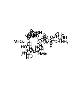 CNc1ncnc2c1ncn2[C@@H]1O[C@H](COP(=O)(O)OP(=O)(O)OP(=O)(O)OC[C@H]2O[C@@H](n3c[n+](C)c4c3N=C(N)NC4O)[C@H](O)[C@@H]2CCOC)[C@@H](OP(=O)([O-])OC[C@H]2O[C@@H](n3cnc4c(=O)[nH]c(N)nc43)[C@H](O)[C@@H]2O)[C@H]1OC